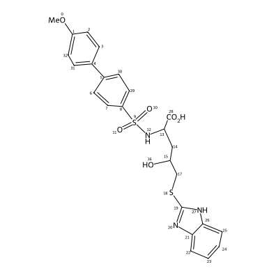 COc1ccc(-c2ccc(S(=O)(=O)NC(CC(O)CSc3nc4ccccc4[nH]3)C(=O)O)cc2)cc1